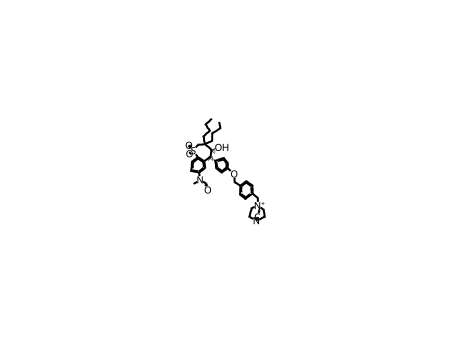 CCCCC1(CCCC)CS(=O)(=O)c2ccc(N(C)C=O)cc2[C@@H](c2ccc(OCc3ccc(C[N+]45CCN(CC4)CC5)cc3)cc2)[C@H]1O